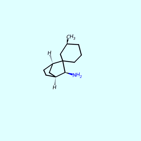 C[C@H]1CCCC2(C1)[C@@H]1CC[C@@H](C1)[C@@H]2N